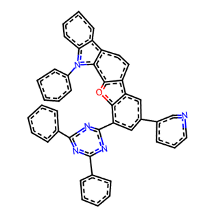 c1ccc(-c2nc(-c3ccccc3)nc(-c3cc(-c4cccnc4)cc4c3oc3c4ccc4c5ccccc5n(-c5ccccc5)c43)n2)cc1